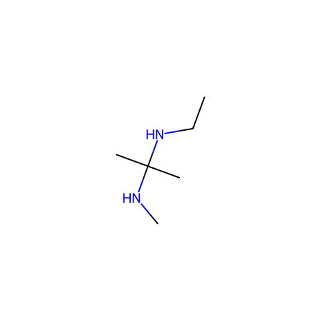 CCNC(C)(C)NC